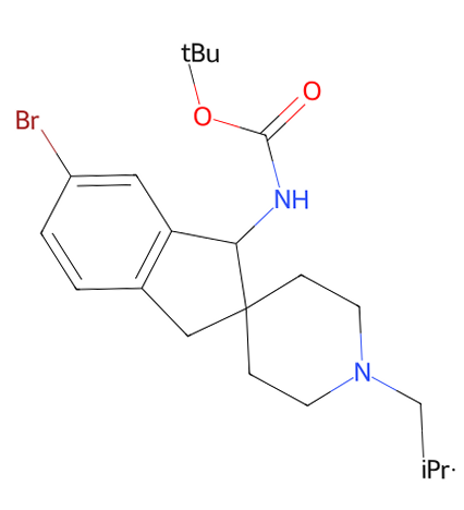 C[C](C)CN1CCC2(CC1)Cc1ccc(Br)cc1C2NC(=O)OC(C)(C)C